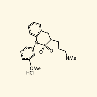 CNCCCC1Sc2ccccc2N(c2cccc(OC)c2)S1(=O)=O.Cl